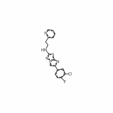 Fc1ccc(-c2cn3nc(NCCc4ccccn4)sc3n2)cc1Cl